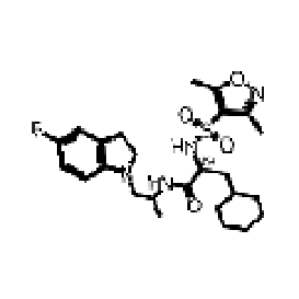 Cc1noc(C)c1S(=O)(=O)N[C@@H](CC1CCCCC1)C(=O)NC(C)CN1CCc2cc(F)ccc21